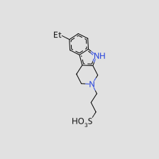 CCc1ccc2[nH]c3c(c2c1)CCN(CCCS(=O)(=O)O)C3